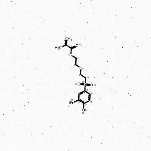 C=C(C)C(=O)OCCOCCS(=O)(=O)c1ccc(O)c(C(C)C)c1